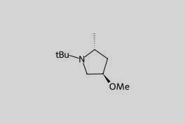 CO[C@@H]1C[C@@H](C)N(C(C)(C)C)C1